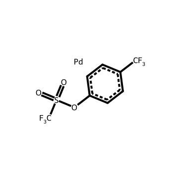 O=S(=O)(Oc1ccc(C(F)(F)F)cc1)C(F)(F)F.[Pd]